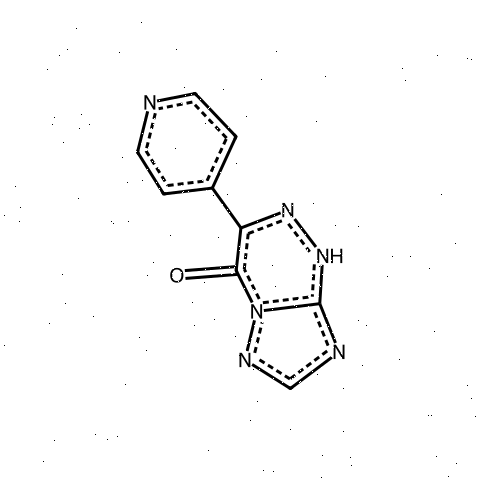 O=c1c(-c2ccncc2)n[nH]c2ncnn12